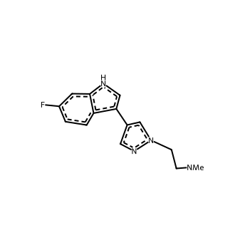 CNCCn1cc(-c2c[nH]c3cc(F)ccc23)cn1